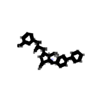 CN1C(NC(=O)Nc2cccc(Cl)c2)=NC(=O)/C1=C/c1ccc(-c2ccccc2)cc1